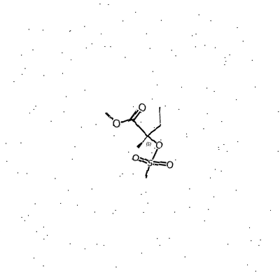 CC[C@](C)(OS(C)(=O)=O)C(=O)OC